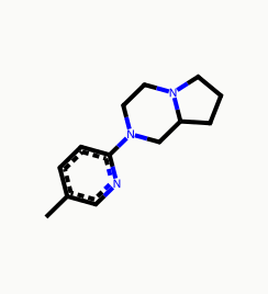 Cc1ccc(N2CCN3CCCC3C2)nc1